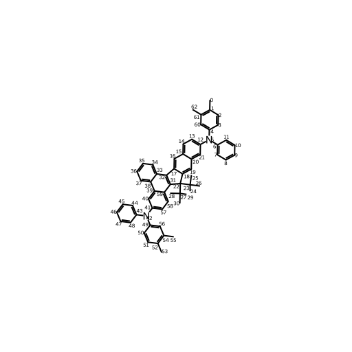 Cc1ccc(N(c2ccccc2)c2ccc3cc4c(cc3c2)C(C(C)(C)C)(C(C)(C)C)c2c-4c3ccccc3c3cc(N(c4ccccc4)c4ccc(C)c(C)c4)ccc23)cc1C